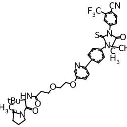 C[C@@H]1CCCN1C(=O)C(NC(=O)CCOCCOc1ccc(-c2ccc(N3C(=S)N(c4ccc(C#N)c(C(F)(F)F)c4)C(=O)C3(C)C)cc2)nc1)C(C)(C)C